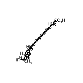 CC(C)CCC[C@@H](C)[C@H]1CCC2C3CC=C4C[C@@H](OC(=O)NCCOCCOCCOCCOCCOCCOCCOCCNC(=O)CCC(=O)O)CC[C@]4(C)C3CC[C@@]21C